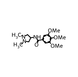 COc1cc(C(=O)NC2CN(C)N(C)C2)cc(OC)c1OC